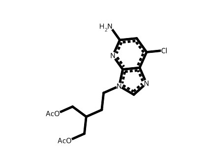 CC(=O)OCC(CCn1cnc2c(Cl)cc(N)nc21)COC(C)=O